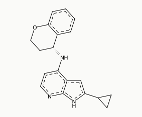 c1ccc2c(c1)OCC[C@H]2Nc1ccnc2[nH]c(C3CC3)cc12